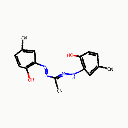 N#CC(N=Nc1cc(C#N)ccc1O)=NNc1cc(C#N)ccc1O